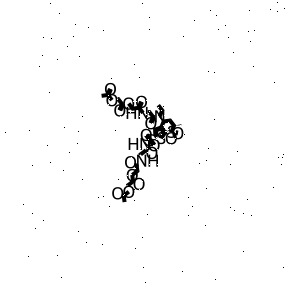 CCN(C(=O)CNC(=O)COC(=O)COC(C)=O)[C@H]1C[C@H](C)S(=O)(=O)c2sc(S(=O)(=O)NC(=O)CNC(=O)COC(=O)COC(C)=O)cc21